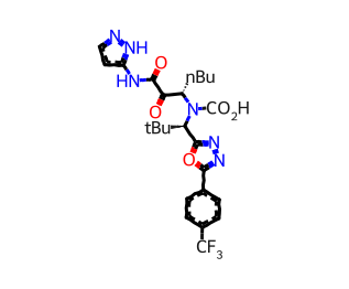 CCCC[C@@H](C(=O)C(=O)Nc1ccn[nH]1)N(C(=O)O)[C@@H](c1nnc(-c2ccc(C(F)(F)F)cc2)o1)C(C)(C)C